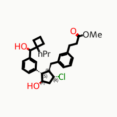 CCCC1(C(O)c2cccc([C@@H]3[C@@H](Cc4cccc(CCC(=O)OC)c4)[C@H](Cl)C[C@H]3O)c2)CCC1